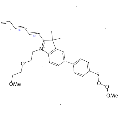 C=C/C=C/C=C/C1=[N+](CCOCCOC)c2ccc(-c3ccc(SOOOC)cc3)cc2C1(C)C